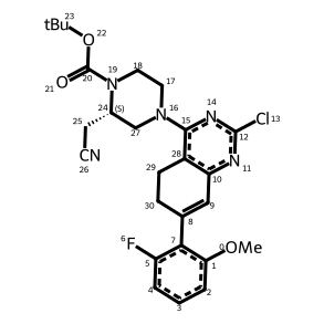 COc1cccc(F)c1C1=Cc2nc(Cl)nc(N3CCN(C(=O)OC(C)(C)C)[C@@H](CC#N)C3)c2CC1